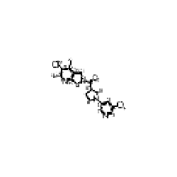 COc1cncc(N2CCC(C(=O)N3Cc4nc(C)c(Cl)c(C)c4C3)C2)c1